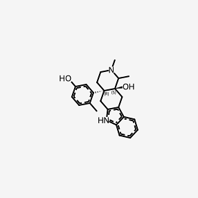 Cc1ccc(O)cc1[C@]12CCN(C)C(C)[C@]1(O)Cc1c([nH]c3ccccc13)C2